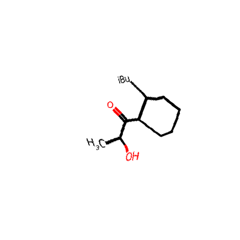 CCC(C)C1CCCCC1C(=O)C(C)O